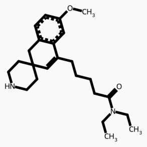 CCN(CC)C(=O)CCCCC1=CC2(CCNCC2)Cc2ccc(OC)cc21